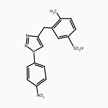 Cc1ccc(S(=O)(=O)O)cc1Cc1cn(-c2ccc([N+](=O)[O-])cc2)nn1